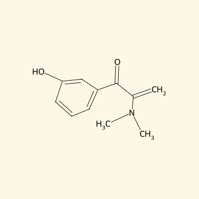 C=C(C(=O)c1cccc(O)c1)N(C)C